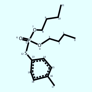 CCCCOP(=O)(OCCCC)Sc1ccc(C)cc1